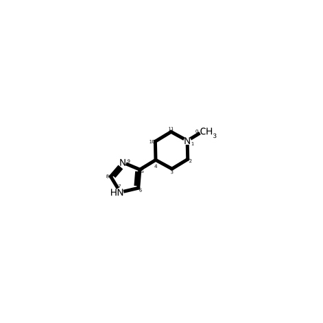 CN1CCC(c2c[nH]cn2)CC1